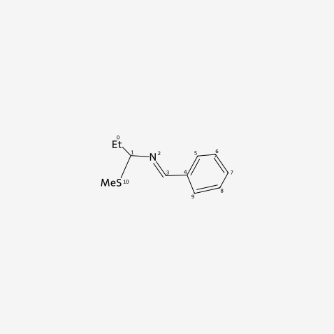 CCC(N=Cc1c[c]ccc1)SC